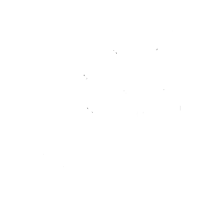 CC1(C)CCC(C)(C)c2sc(N(c3ccc(C(=O)O)cn3)C3CCC3)nc21